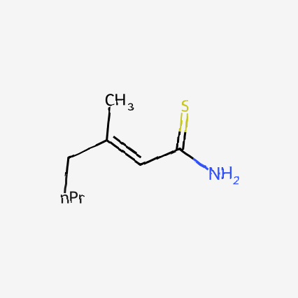 CCCCC(C)=CC(N)=S